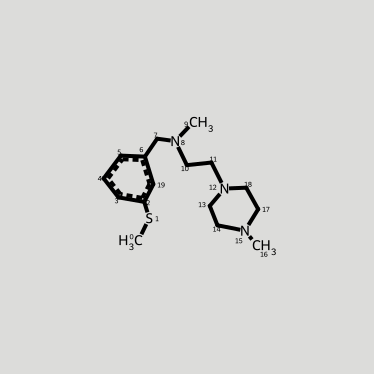 CSc1cccc(CN(C)CCN2CCN(C)CC2)c1